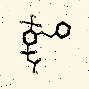 CC(=O)CS(=O)(=O)c1ccc(C(C)(C)C)c(OCc2ccccc2)c1